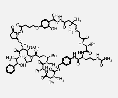 CC[C@H](C)[C@@H](CCC(=O)N1CCC[C@@H]1[C@H](OC)[C@@H](C)C(=O)N[C@H](C)[C@@H](O)c1ccccc1)N(C)C(=O)[C@@H](NC(=O)[C@H](C(C)C)N(C)C(=O)OCc1ccc(NC(=O)[C@H](CCCNC(N)=O)NC(=O)[C@@H](NC(=O)CCSSC(C)(C)CC(=O)N/N=C(\C)c2ccc(OCCCC(=O)ON3C(=O)CCC3=O)cc2O)C(C)C)cc1)C(C)C